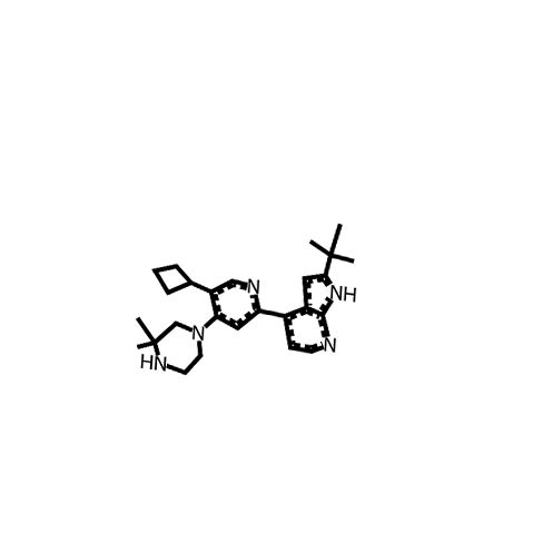 CC1(C)CN(c2cc(-c3ccnc4[nH]c(C(C)(C)C)cc34)ncc2C2CCC2)CCN1